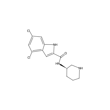 O=C(N[C@@H]1CCCNC1)c1cc2c(Cl)cc(Cl)cc2[nH]1